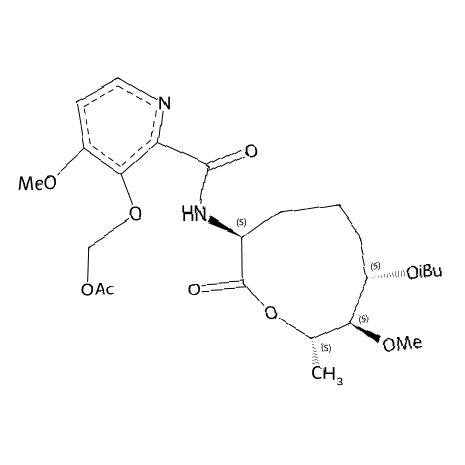 COc1ccnc(C(=O)N[C@H]2CCC[C@H](OCC(C)C)[C@@H](OC)[C@H](C)OC2=O)c1OCOC(C)=O